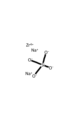 [Na+].[Na+].[O-][Si]([O-])([O-])[O-].[Zr+4]